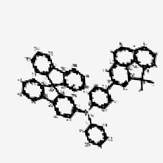 CC1(C)c2cccc3ccc4cc(-c5ccc(N(c6ccccc6)c6ccc7c(c6)C6(c8ccccc8-c8ccccc86)c6ccccc6-7)cc5)cc1c4c23